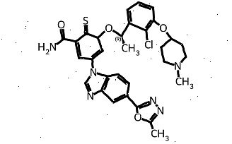 Cc1nnc(-c2ccc3c(c2)ncn3C2=CC(O[C@H](C)c3cccc(OC4CCN(C)CC4)c3Cl)C(=S)C(C(N)=O)=C2)o1